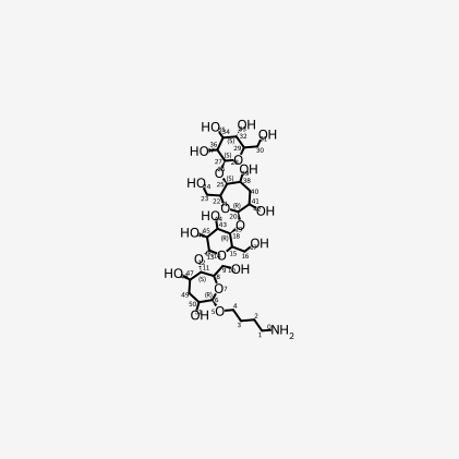 NCCCCO[C@@H]1OC(CO)[C@@H](O[C@H]2OC(CO)[C@H](O[C@H]3OC(CO)[C@@H](O[C@@H]4OC(CO)[C@@H](O)C(O)C4O)C(O)CC3O)C(O)C2O)C(O)CC1O